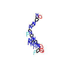 COc1ccc(F)cc1C(=O)NCc1ccc(-c2nn(-c3ccc(N4CCC(CN5CCN(c6ccc7c(c6)CN(C)C7=O)CC5)CC4)c(F)c3)c3ncnc(N)c23)cc1